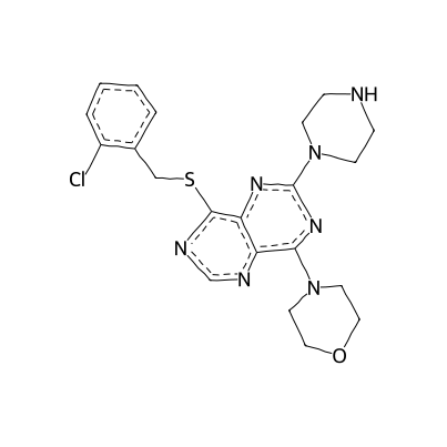 Clc1ccccc1CSc1ncnc2c(N3CCOCC3)nc(N3CCNCC3)nc12